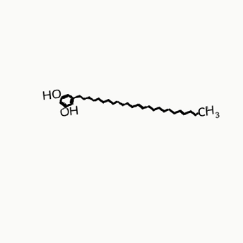 CCCCCCCCCCCCCCCCCCCCCCCCCc1cc(O)cc(O)c1